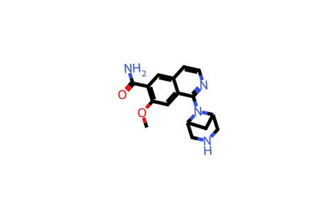 COc1cc2c(N3C4CNCC3C4)nccc2cc1C(N)=O